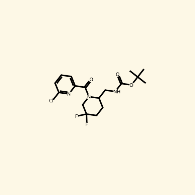 CC(C)(C)OC(=O)NCC1CCC(F)(F)CN1C(=O)c1cccc(Cl)n1